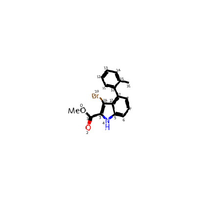 COC(=O)c1[nH]c2cccc(-c3ccccc3C)c2c1Br